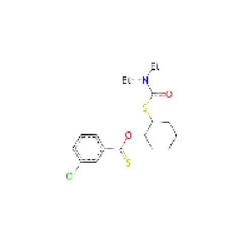 CCN(CC)C(=O)SC1CCCCC1OC(=S)c1cccc(Cl)c1